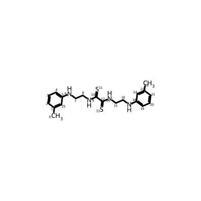 Cc1cccc(NCCNC(=S)C(=S)NCCNc2cccc(C)c2)c1